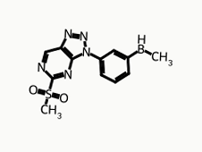 CBc1cccc(-n2nnc3cnc(S(C)(=O)=O)nc32)c1